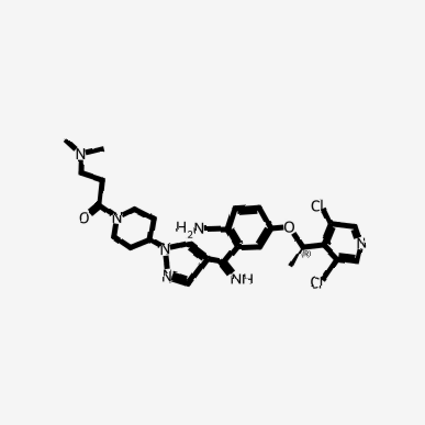 C[C@@H](Oc1ccc(N)c(C(=N)c2cnn(C3CCN(C(=O)CCN(C)C)CC3)c2)c1)c1c(Cl)cncc1Cl